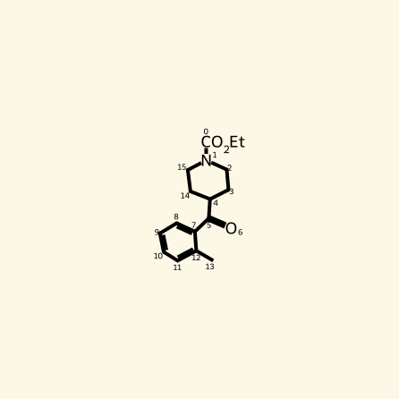 CCOC(=O)N1CCC(C(=O)c2ccccc2C)CC1